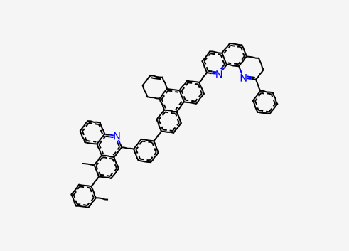 Cc1ccccc1-c1ccc2c(-c3cccc(-c4ccc5c(c4)c4c(c6cc(-c7ccc8ccc9c(c8n7)N=C(c7ccccc7)CC9)ccc65)C=CCC4)c3)nc3ccccc3c2c1C